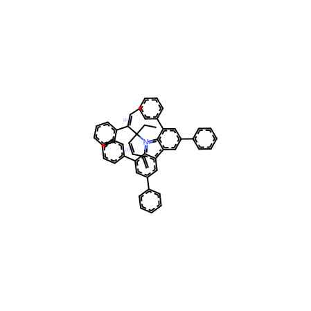 C=C/C=C\C(CC)(/C(=C\C)c1ccccc1)n1c2c(-c3ccccc3)cc(-c3ccccc3)cc2c2cc(-c3ccccc3)cc(-c3ccccc3)c21